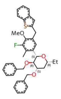 CC[C@@H]1C[C@H](OCc2ccccc2)[C@@H](OCc2ccccc2)[C@H](c2cc(Cc3cc4ccccc4s3)c(OC)c(F)c2C)O1